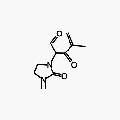 C=C(C)C(=O)C(C=O)N1CCNC1=O